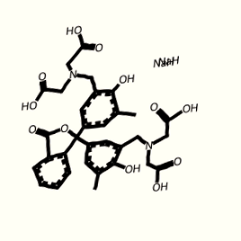 Cc1cc(C2(c3cc(C)c(O)c(CN(CC(=O)O)CC(=O)O)c3)OC(=O)c3ccccc32)cc(CN(CC(=O)O)CC(=O)O)c1O.[NaH].[NaH]